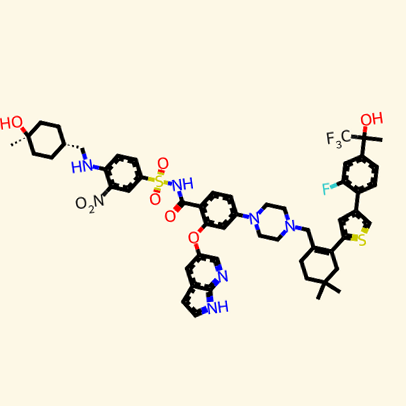 CC1(C)CCC(CN2CCN(c3ccc(C(=O)NS(=O)(=O)c4ccc(NC[C@H]5CC[C@](C)(O)CC5)c([N+](=O)[O-])c4)c(Oc4cnc5[nH]ccc5c4)c3)CC2)=C(c2cc(-c3ccc(C(C)(O)C(F)(F)F)cc3F)cs2)C1